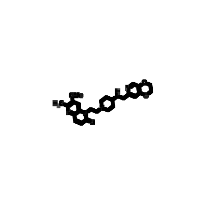 COc1cc2c(ccc(=O)n2CCN2CCC(NCc3cc4c(cn3)OCCO4)CC2)nc1C